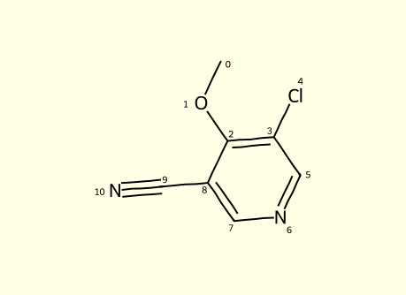 COc1c(Cl)cncc1C#N